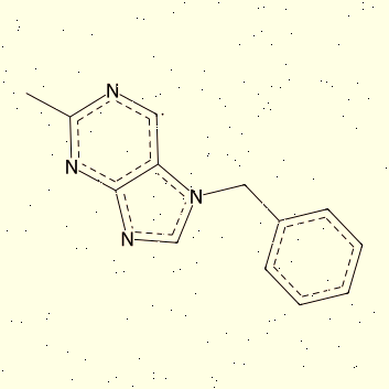 Cc1n[c]c2c(ncn2Cc2ccccc2)n1